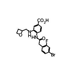 O=C(Cc1ccc(Br)cc1F)Nc1ccc(C(=O)O)cc1NCC1CCO1